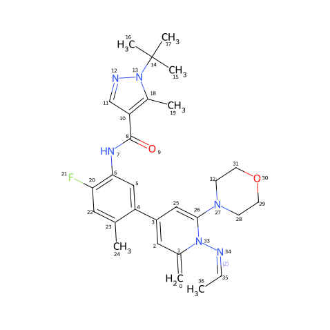 C=C1C=C(c2cc(NC(=O)c3cnn(C(C)(C)C)c3C)c(F)cc2C)C=C(N2CCOCC2)N1/N=C\C